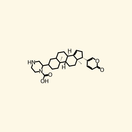 C[C@]12CC[C@H]3[C@@H](CCC4CC(C5CNCCN5C(=O)O)CC[C@@]43C)C1=CC[C@@H]2c1ccc(=O)oc1